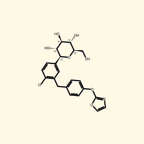 OC[C@H]1O[C@@H](c2ccc(Cl)c(Cc3ccc(Oc4ncco4)cc3)c2)[C@H](O)[C@@H](O)[C@@H]1O